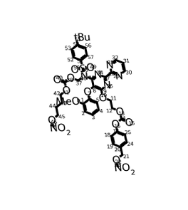 COc1ccccc1Oc1c(OCCOC(=O)Oc2ccc(CO[N+](=O)[O-])cc2)nc(-c2ncccn2)nc1N(COC(=O)OCCCCO[N+](=O)[O-])S(=O)(=O)c1ccc(C(C)(C)C)cc1